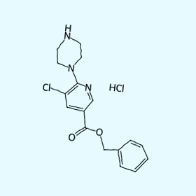 Cl.O=C(OCc1ccccc1)c1cnc(N2CCNCC2)c(Cl)c1